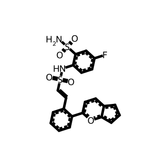 NS(=O)(=O)c1cc(F)ccc1NS(=O)(=O)C=Cc1ccccc1-c1ccc2cccc-2o1